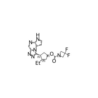 CC[C@@H]1C[C@@H](OC(=O)N2CC(F)(F)C2)C[C@@H]1c1nnc2cnc3[nH]ccc3n12